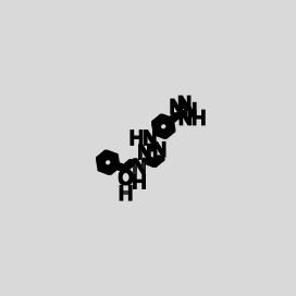 OC(CNc1ccnc(Nc2ccc(-c3nnn[nH]3)cc2)n1)c1ccccc1